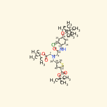 CC(C)(C)OC(=O)CN(CC(=O)Nc1ccc(O[Si](C)(C)C(C)(C)C)cc1Cl)Cc1csc(C(=O)OC(C)(C)C)c1